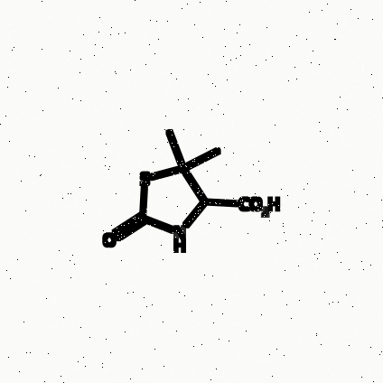 CC1(C)SC(=O)NC1C(=O)O